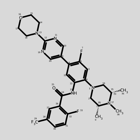 C[C@@H]1CN(c2cc(F)c(-c3cnc(N4CCOCC4)nc3)cc2NC(=O)c2cc(C(F)(F)F)ccc2F)C[C@H](C)N1C